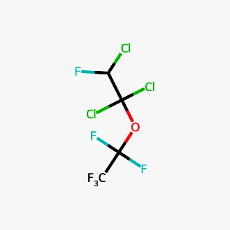 FC(Cl)C(Cl)(Cl)OC(F)(F)C(F)(F)F